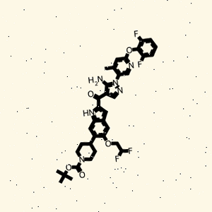 Cc1cc(Oc2c(F)cccc2F)ncc1-n1ncc(C(=O)c2cc3cc(OCC(F)F)c(C4CCN(C(=O)OC(C)(C)C)CC4)cc3[nH]2)c1N